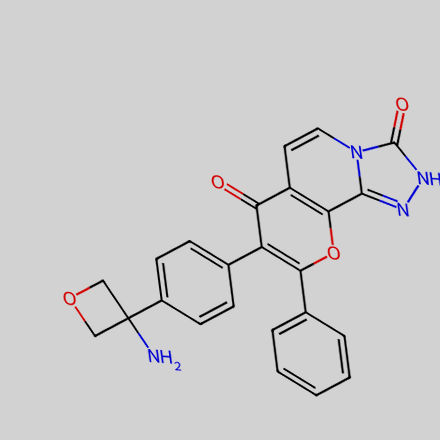 NC1(c2ccc(-c3c(-c4ccccc4)oc4c(ccn5c(=O)[nH]nc45)c3=O)cc2)COC1